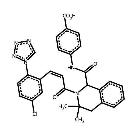 CC1(C)Cc2ccccc2C(C(=O)Nc2ccc(C(=O)O)cc2)N1C(=O)C=Cc1cc(Cl)ccc1-n1cnnn1